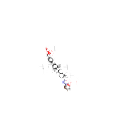 CCC(CC)(c1ccc(/C=C/C2CSCCC2O)c(C)c1)c1ccc(-c2ccc(CC(=O)OC)cc2)c(C)c1